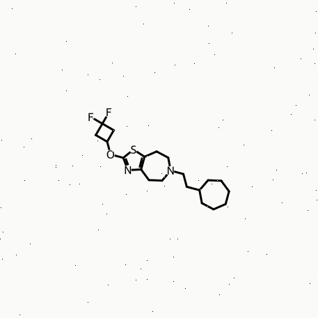 FC1(F)CC(Oc2nc3c(s2)CCN(CCC2CCCCCC2)CC3)C1